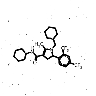 CC1=C(C(=O)NC2CCCCC2)CC(c2ccc(C(F)(F)F)cc2C(F)(F)F)N1CC1CCCCC1